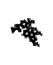 CCC(F)(F)c1cnc(NC(=O)C2CC2)cc1Nc1nccc2c1N(C)C(C)c1nn(C)nc1-2